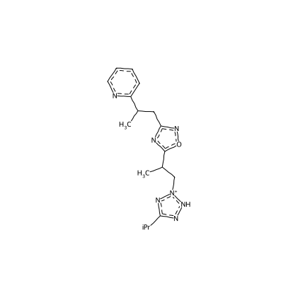 CC(C)c1n[nH][n+](CC(C)c2nc(CC(C)c3ccccn3)no2)n1